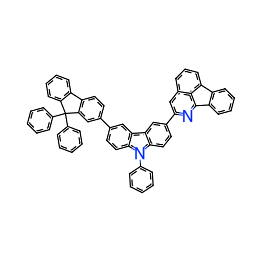 c1ccc(-n2c3ccc(-c4ccc5c(c4)C(c4ccccc4)(c4ccccc4)c4ccccc4-5)cc3c3cc(-c4cc5cccc6c5c(n4)-c4ccccc4-6)ccc32)cc1